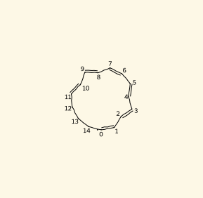 [C]1=C/C=C/C=C/C=C\C=C\C=C\CCC\1